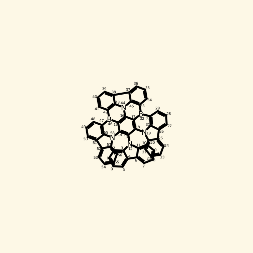 c1ccc2c(c1)c1ccccc1n2-c1c2c3c4c5c1-n1c6ccccc6c6cccc(c61)B5c1cccc5c6cccc(c6n-4c15)B3c1cccc3c4ccccc4n-2c13